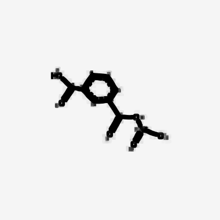 O=C(O)c1cccc(C(=O)O[N+](=O)[O-])c1